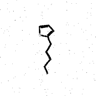 CCCCCc1c[c]co1